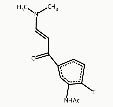 CC(=O)Nc1cc(C(=O)C=CN(C)C)ccc1F